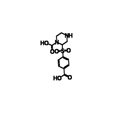 O=C(O)c1ccc(S(=O)(=O)C2CNCCN2C(=O)O)cc1